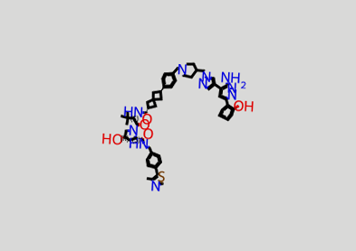 Cc1ncsc1-c1ccc(CNC(=O)[C@@H]2C[C@@H](O)CN2C(=O)[C@@H](NC(=O)[C@H]2CC3(C2)C[C@H](c2ccc(CN4CCC(Cn5cc(-c6cc(-c7ccccc7O)nnc6N)cn5)CC4)cc2)C3)C(C)(C)C)cc1